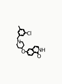 Cc1cc(Cl)cc(CN2CCC(Oc3ccc4c(=O)[nH]ccc4c3)CC2)c1